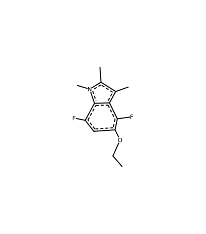 CCOc1cc(F)c2c(c(C)c(C)n2C)c1F